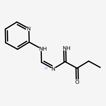 CCC(=O)C(=N)/N=C\Nc1ccccn1